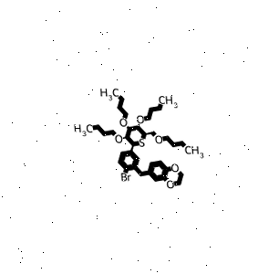 CCCCOC[C@H]1S[C@@H](c2ccc(Br)c(Cc3ccc4c(c3)OCCO4)c2)[C@H](OCCCC)[C@@H](OCCCC)[C@@H]1OCCCC